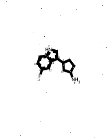 NC1CCC(c2c[nH]c3ccc(F)cc23)C1